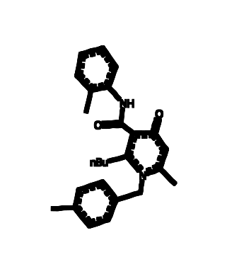 CCCCc1c(C(=O)Nc2ccccc2C)c(=O)cc(C)n1Cc1ccc(C)cc1